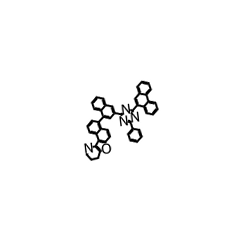 C1=Nc2c(oc3ccc4c(-c5cc(-c6nc(-c7ccccc7)nc(-c7cc8ccccc8c8ccccc78)n6)cc6ccccc56)cccc4c23)CC1